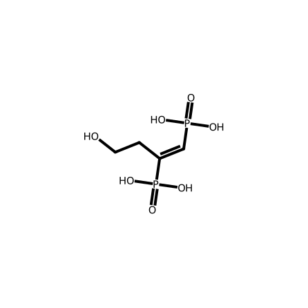 O=P(O)(O)C=C(CCO)P(=O)(O)O